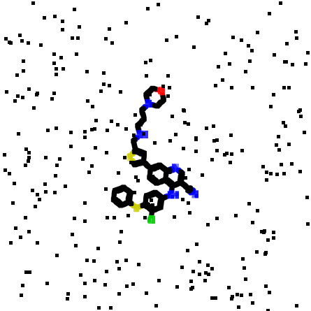 N#Cc1cnc2cc(-c3csc(CNCCCN4CCOCC4)c3)ccc2c1Nc1ccc(Sc2ccccc2)c(Cl)c1